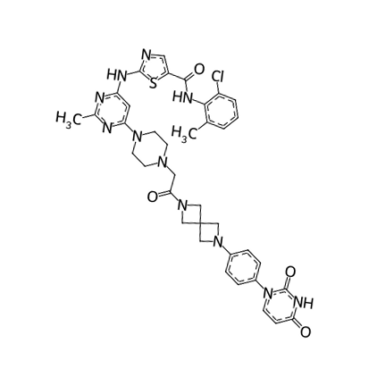 Cc1nc(Nc2ncc(C(=O)Nc3c(C)cccc3Cl)s2)cc(N2CCN(CC(=O)N3CC4(C3)CN(c3ccc(-n5ccc(=O)[nH]c5=O)cc3)C4)CC2)n1